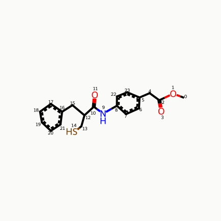 COC(=O)Cc1ccc(NC(=O)C(CS)Cc2ccccc2)cc1